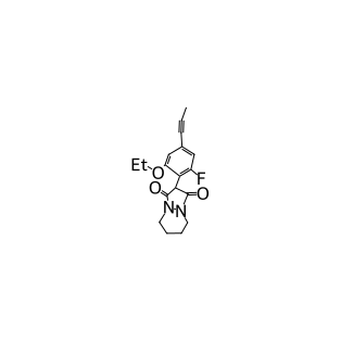 CC#Cc1cc(F)c(C2C(=O)N3CCCCN3C2=O)c(OCC)c1